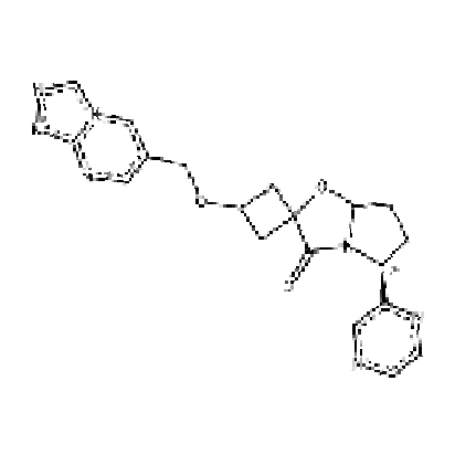 O=C1N2C(CC[C@H]2c2cnccn2)OC12CC(OCc1cnc3nncn3c1)C2